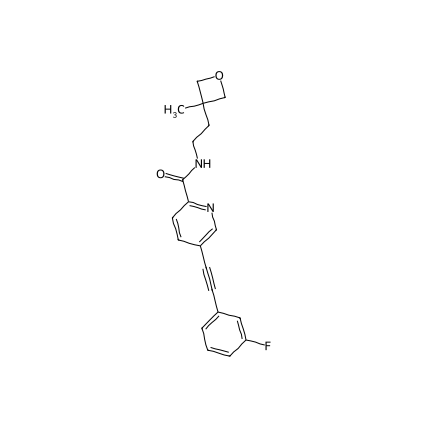 CC1(CCNC(=O)c2ccc(C#Cc3cccc(F)c3)cn2)COC1